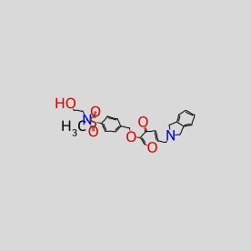 CN(CCO)S(=O)(=O)c1ccc(COc2coc(CN3Cc4ccccc4C3)cc2=O)cc1